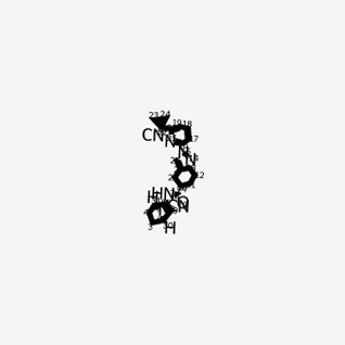 N#CN1[C@H]2CC[C@@H]1[C@H](NC(=O)[C@H]1CCc3nn(-c4cccc(C5(C#N)CC5)n4)cc3C1)C2